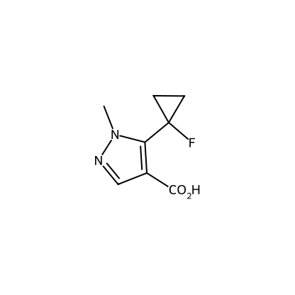 Cn1ncc(C(=O)O)c1C1(F)CC1